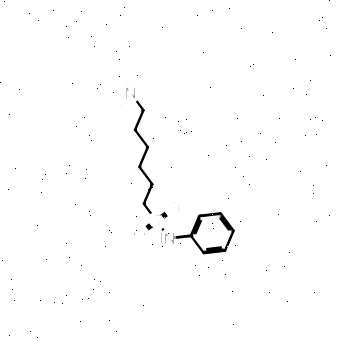 NCCCCCCS(=O)(=O)Nc1ccccc1